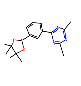 Cc1nc(C)nc(-c2cccc(B3OC(C)(C)C(C)(C)O3)c2)n1